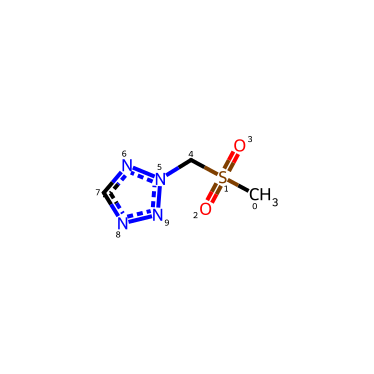 CS(=O)(=O)Cn1n[c]nn1